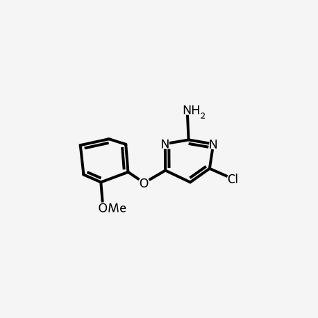 COc1ccccc1Oc1cc(Cl)nc(N)n1